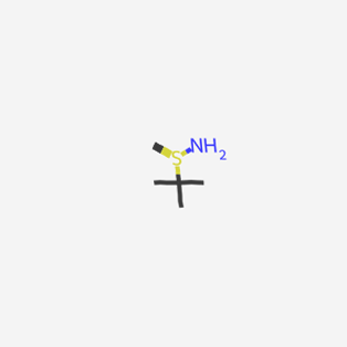 C=S(N)C(C)(C)C